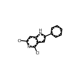 Clc1cc2[nH]c(-c3ccccc3)cc2c(Cl)n1